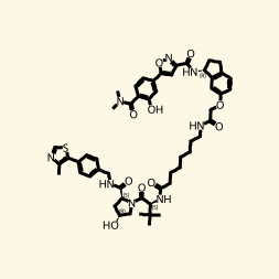 Cc1ncsc1-c1ccc(CNC(=O)[C@@H]2C[C@@H](O)CN2C(=O)[C@@H](NC(=O)CCCCCCCNC(=O)COc2ccc3c(c2)[C@H](NC(=O)c2cc(-c4ccc(C(=O)N(C)C)c(O)c4)on2)CC3)C(C)(C)C)cc1